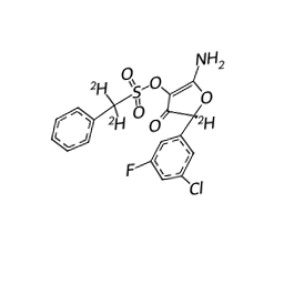 [2H]C([2H])(c1ccccc1)S(=O)(=O)OC1=C(N)O[C@]([2H])(c2cc(F)cc(Cl)c2)C1=O